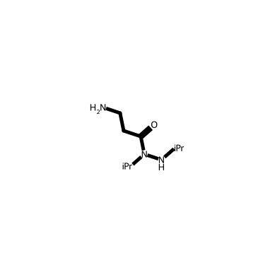 CC(C)NN(C(=O)CCN)C(C)C